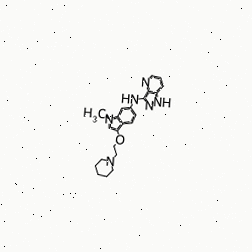 Cn1cc(OCCN2CCCCC2)c2ccc(Nc3n[nH]c4cccnc34)cc21